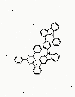 c1ccc(-c2nc(-c3ccccc3)nc(-c3ccccc3-c3ccc4c(c3)c3ccccc3n4-c3ccc(-c4cccc5c6ccccc6n(-c6ccccc6)c45)cc3)n2)cc1